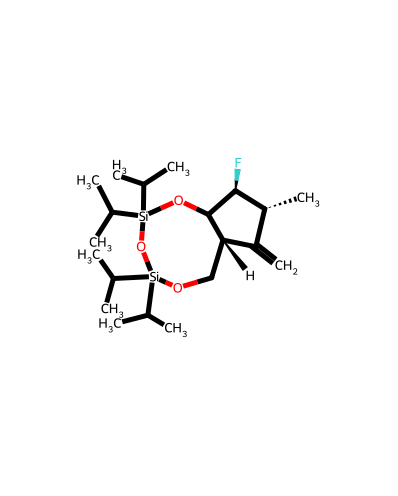 C=C1[C@@H](C)[C@H](F)C2O[Si](C(C)C)(C(C)C)O[Si](C(C)C)(C(C)C)OC[C@@H]12